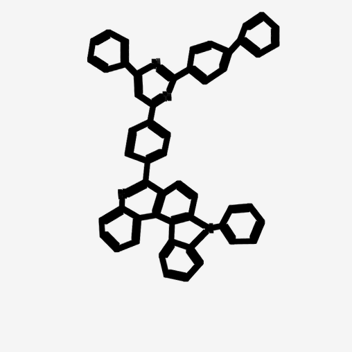 c1ccc(-c2ccc(-c3nc(-c4ccccc4)cc(-c4ccc(-c5nc6ccccc6c6c5ccc5c6c6ccccc6n5-c5ccccc5)cc4)n3)cc2)cc1